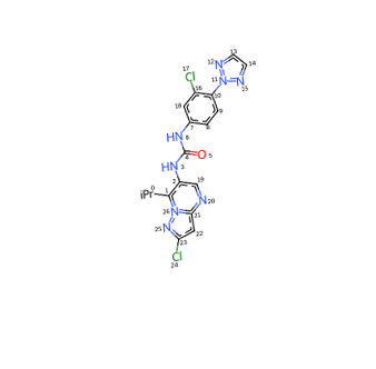 CC(C)c1c(NC(=O)Nc2ccc(-n3nccn3)c(Cl)c2)cnc2cc(Cl)nn12